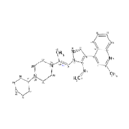 C=Nc1c(-c2cc(C)nc3ccccc23)cnn1/C=C(\C)N1CCN(C2CCOCC2)CC1